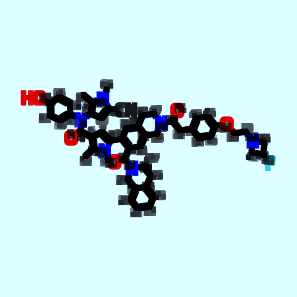 Cc1c(N(C(=O)c2cc(-c3cc4c(cc3C(=O)N3Cc5ccccc5C[C@H]3C)CN(C(=O)Cc3ccc(OCCN5CC(F)C5)cc3)CC4)n(C)c2C)c2ccc(O)cc2)cc(C#N)n1C